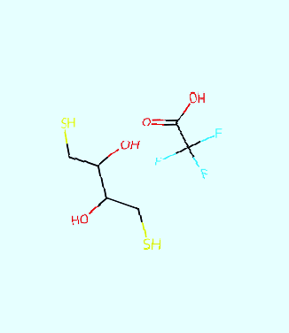 O=C(O)C(F)(F)F.OC(CS)C(O)CS